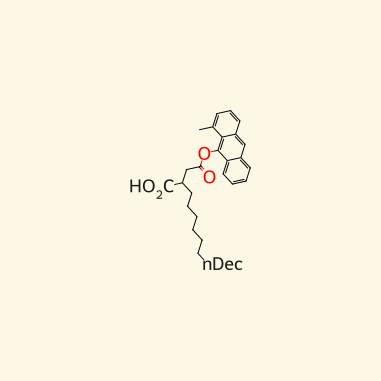 CCCCCCCCCCCCCCCCC(CC(=O)Oc1c2ccccc2cc2cccc(C)c12)C(=O)O